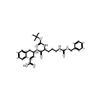 CC(C)(C)OC(=O)NC(CCCNC(=O)OCc1ccccc1)C(=O)NC(C=CC(=O)O)Cc1ccccc1